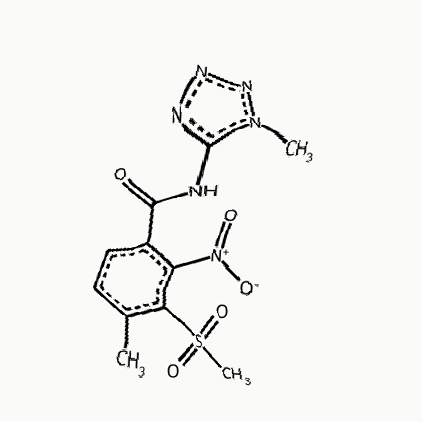 Cc1ccc(C(=O)Nc2nnnn2C)c([N+](=O)[O-])c1S(C)(=O)=O